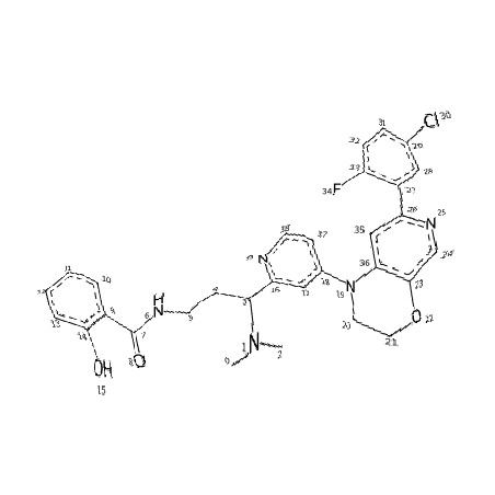 CN(C)C(CCNC(=O)c1ccccc1O)c1cc(N2CCOc3cnc(-c4cc(Cl)ccc4F)cc32)ccn1